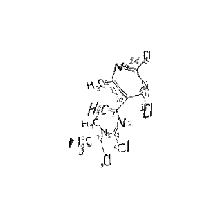 C=C(/N=C(/Cl)N(C)C(C)Cl)c1c(C)nc(Cl)nc1Cl